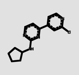 Clc1cc(-c2ccnc(NC3CCCC3)n2)ccn1